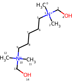 C[N+](C)(CO)CCCCC[N+](C)(C)CO